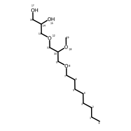 CCCCCCCCOCC(COCC(O)CO)OC